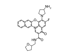 NC1CCN(c2c(F)cc3c(=O)c(C(=O)NCC4CCCO4)cn4c3c2Oc2cc3ccccc3cc2-4)C1